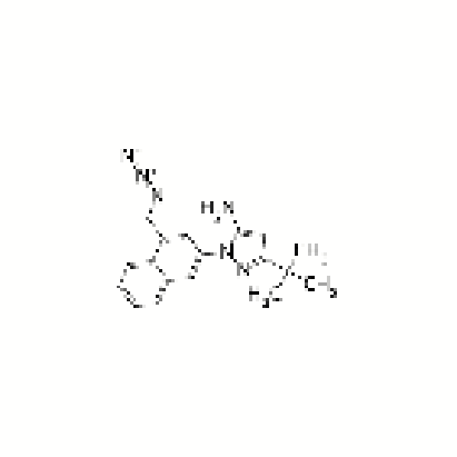 CC(C)(C)c1cc(N)n(-c2cc(CN=[N+]=[N-])c3ccccc3c2)n1